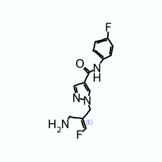 NC/C(=C\F)Cn1cc(C(=O)Nc2ccc(F)cc2)cn1